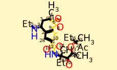 CCN[C@H]1C[C@H](C)S(=O)(=O)c2sc(S(=O)(=O)NC(C)(CC)C(=O)[C@H](C)OC(C)(CC)C(C)=O)cc21